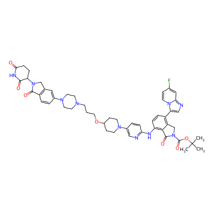 CC(C)(C)OC(=O)N1Cc2c(-c3cnc4cc(F)ccn34)ccc(Nc3ccc(N4CCC(OCCCN5CCN(c6ccc7c(c6)CN(C6CCC(=O)NC6=O)C7=O)CC5)CC4)cn3)c2C1=O